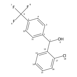 OC(c1ccc(C(F)(F)F)cc1)c1ccccc1Cl